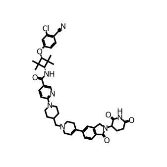 CC1(C)[C@H](NC(=O)c2ccc(N3CCC(CN4CC=C(c5ccc6c(c5)CN(C5CCC(=O)NC5=O)C6=O)CC4)CC3)nc2)C(C)(C)[C@H]1Oc1ccc(C#N)c(Cl)c1